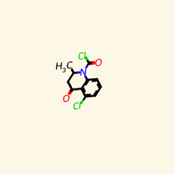 CC1CC(=O)c2c(Cl)cccc2N1C(=O)Cl